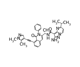 Cc1c(C#Cc2cccc3cc([C@H](C)NC(=O)c4c(N)nn5ccc(C(C)C)nc45)n(-c4ccccc4)c(=O)c23)cnn1C